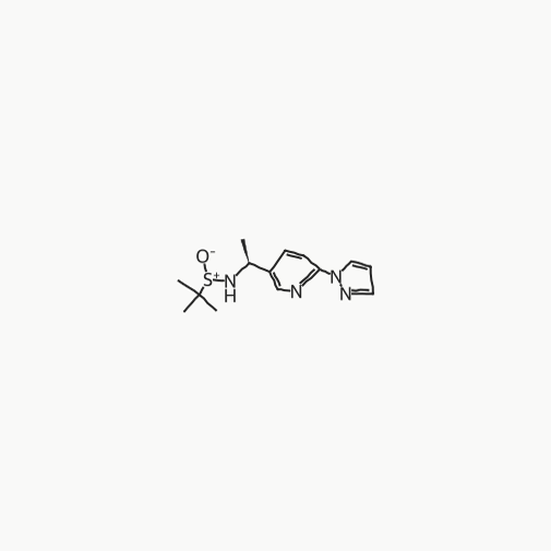 C[C@H](N[S+]([O-])C(C)(C)C)c1ccc(-n2cccn2)nc1